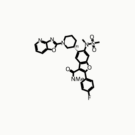 CNC(=O)c1c(-c2ccc(F)cc2)oc2cc(N(C)S(C)(=O)=O)c([C@H]3CCCN(c4nc5ncccc5o4)C3)cc12